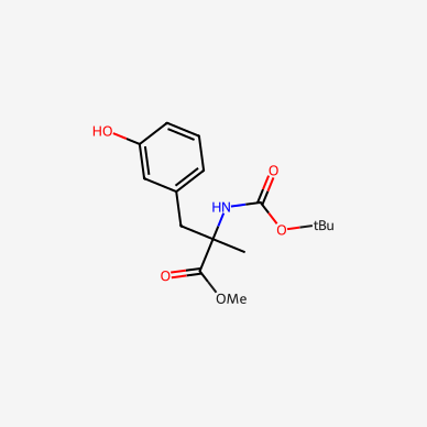 COC(=O)C(C)(Cc1cccc(O)c1)NC(=O)OC(C)(C)C